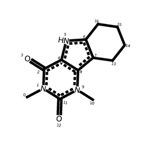 Cn1c(=O)c2[nH]c3c(c2n(C)c1=O)CCCC3